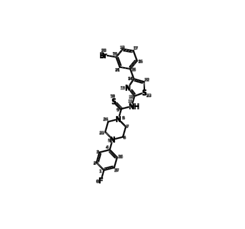 Fc1ccc(N2CCN(C(=S)Nc3nc(-c4cccc(Br)c4)cs3)CC2)cc1